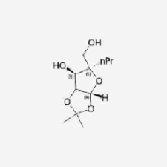 CCC[C@]1(CO)O[C@@H]2OC(C)(C)OC2[C@H]1O